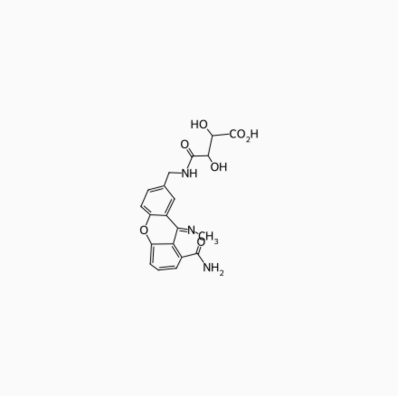 C/N=c1/c2cc(CNC(=O)C(O)C(O)C(=O)O)ccc2oc2cccc(C(N)=O)c12